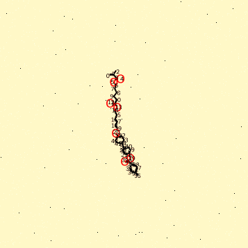 C=C(C)C(=O)OCCCCCC(=O)OCCCCCCOC1CCC(c2ccc(OC(=O)c3ccc(C)cc3)cc2)CC1